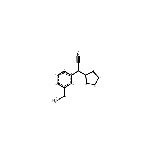 N#CC(c1cccc(CN)c1)C1CCCC1